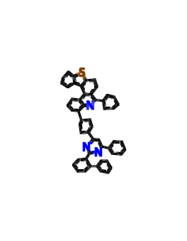 c1ccc(-c2cc(-c3ccc(-c4cccc5c4nc(-c4ccccc4)c4ccc6sc7ccccc7c6c45)cc3)nc(-c3ccccc3-c3ccccc3)n2)cc1